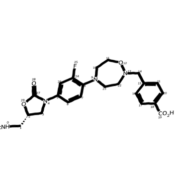 CC(=O)NC[C@H]1CN(c2ccc(N3CCON(Cc4ccc(C(=O)O)cc4)CC3)c(F)c2)C(=O)O1